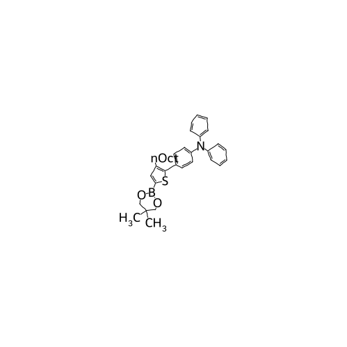 CCCCCCCCc1cc(B2OCC(C)(C)CO2)sc1-c1ccc(N(c2ccccc2)c2ccccc2)cc1